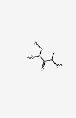 CON(C)C(=O)N(OC)SCl